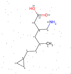 CC(CCC1CC1)CC(CN)CC(=O)O